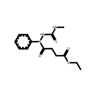 CCOC(=O)CCC(=O)N(NC(=S)NC)c1ccccc1